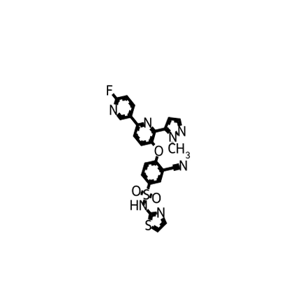 Cn1nccc1-c1nc(-c2ccc(F)nc2)ccc1Oc1ccc(S(=O)(=O)Nc2nccs2)cc1C#N